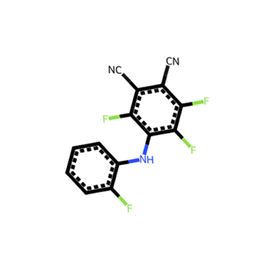 N#Cc1c(F)c(F)c(Nc2ccccc2F)c(F)c1C#N